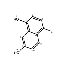 Cc1ccc(O)c2cc(O)ccc12